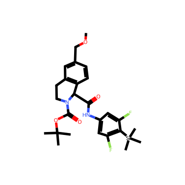 COCc1ccc2c(c1)CCN(C(=O)OC(C)(C)C)C2C(=O)Nc1cc(F)c([Si](C)(C)C)c(F)c1